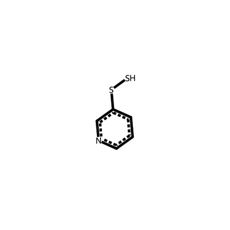 SSc1cccnc1